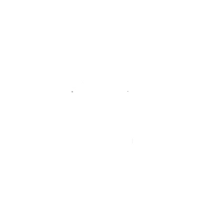 C[SiH](C)OC(CC(C)(C)C)OCCCl